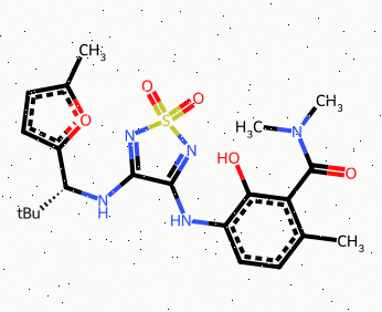 Cc1ccc([C@H](NC2=NS(=O)(=O)N=C2Nc2ccc(C)c(C(=O)N(C)C)c2O)C(C)(C)C)o1